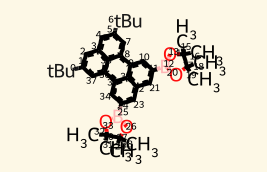 CC(C)(C)c1cc2cc(C(C)(C)C)cc3c4cc(B5OC(C)(C)C(C)(C)O5)cc5cc(B6OC(C)(C)C(C)(C)O6)cc(c(c1)c23)c54